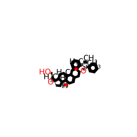 CC(C)(C)[Si](O[C@H]1CC[C@@]2(C)C(=CC[C@@H]3[C@@H]2CC[C@@]2(C)[C@H]3CC[C@@]23O[C@H]3CO)C1)(c1ccccc1)c1ccccc1